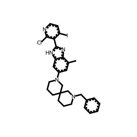 Cc1cc(N2CCCC3(CCCN(Cc4ccccc4)C3)C2)cc2[nH]c(-c3c(I)ccnc3Cl)nc12